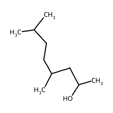 CC(C)CCC(C)CC(C)O